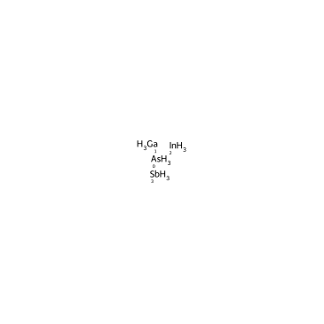 [AsH3].[GaH3].[InH3].[SbH3]